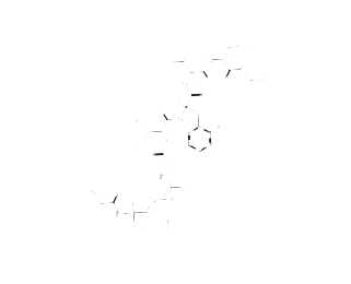 CC(=O)CNC(=O)[C@H](CO)NC(=O)[C@@H](NC(=O)C(C)(Cc1ccccc1F)NC(=O)[C@@H](NC(=O)CNC(O)[C@H](CCC(=O)O)NC(O)C(C)(C)NC(=O)CN)C(C)O)C(C)O